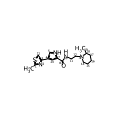 Cc1nc(-c2c[nH]c(C(=O)NCCN3CCCCC3C)c2)cs1